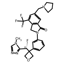 Cn1cnnc1[C@H](F)C1(c2cccc(N3Cc4c(cc(CN5CCCC5)cc4C(F)(F)F)C3=O)c2)COC1